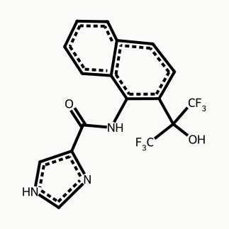 O=C(Nc1c(C(O)(C(F)(F)F)C(F)(F)F)ccc2ccccc12)c1c[nH]cn1